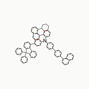 c1ccc(C2(c3ccccc3)c3ccccc3-c3c(-c4ccc(N(c5ccc(-c6ccc(-c7cccc8ccccc78)cc6)cc5)c5ccccc5-c5cccc6cccc(C7CCCCC7)c56)cc4)cccc32)cc1